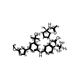 [2H]C([2H])([2H])n1c(=O)n([C@@H]2CC[C@](C)(NC(C)=O)C2)c2cc(Nc3cc(C(C)(C)O)cc(-c4cnc(OC)s4)n3)ncc21